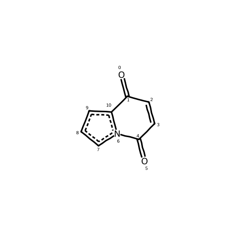 O=C1C=CC(=O)n2cccc21